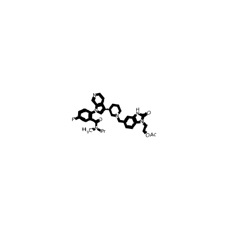 CC(=O)OCCn1c(=O)[nH]c2cc(CN3CCC[C@H](c4cn(-c5ccc(F)cc5C(=O)N(C)C(C)C)c5cnccc45)C3)ccc21